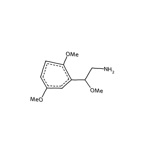 COc1ccc(OC)c(C(CN)OC)c1